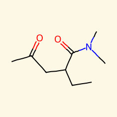 CCC(CC(C)=O)C(=O)N(C)C